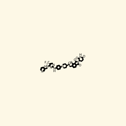 CN(Cc1ccc2c(c1F)C(=O)N(C1CCC(=O)NC1=O)C2=O)C1CCN(c2ccc(Nc3ncc(C(F)(F)F)c(NCc4cccnc4)n3)cc2)CC1